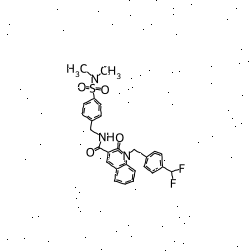 CN(C)S(=O)(=O)c1ccc(CNC(=O)c2cc3ccccc3n(Cc3ccc(C(F)F)cc3)c2=O)cc1